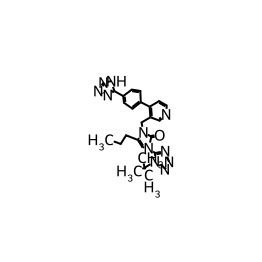 CCCc1cn(-c2nnnn2C(C)(C)C)c(=O)n1Cc1cnccc1-c1ccc(-c2nnn[nH]2)cc1